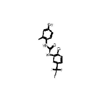 Cc1cc(O)ccc1NC(=O)Nc1cc(C(F)(F)F)ccc1Cl